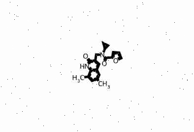 Cc1cc(C)c2[nH]c(=O)c(CN(C(=O)c3ccco3)C3CC3)cc2c1